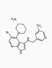 Cc1cncc(CNc2c[nH]c3ncc(Br)c(N4CCC[C@@H](N)C4)c23)c1